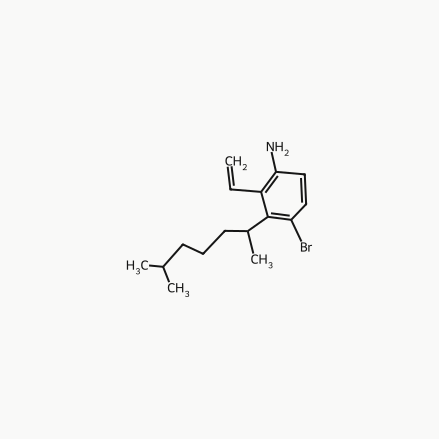 C=Cc1c(N)ccc(Br)c1C(C)CCCC(C)C